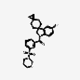 O=C(c1cccc(S(=O)(=O)N2CCCOC2)c1)N1CC2(CCC3(CC3)CC2)c2cc(Br)ccc21